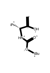 C=C(O)[C@H](NC(=O)OC(C)(C)C)C(C)C